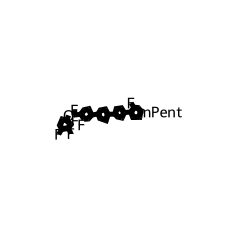 CCCCCc1ccc(-c2ccc(-c3ccc(-c4ccc(C(F)(F)Oc5ccc(F)c(F)c5)c(F)c4)cc3)cc2)c(F)c1